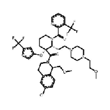 COCCN1CCN(CC[C@H]2N(C(=O)c3ncccc3C(F)(F)F)CCC[C@]2(Oc2csc(C(F)(F)F)c2)C(=O)N2CCc3cc(Cl)ccc3C2COC)CC1